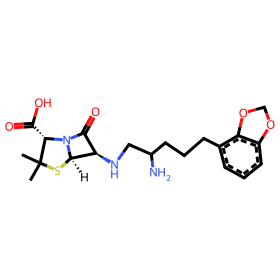 CC1(C)S[C@@H]2[C@H](NCC(N)CCCc3cccc4c3OCO4)C(=O)N2[C@H]1C(=O)O